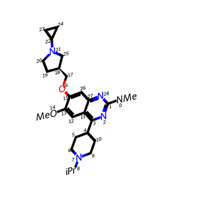 CNc1nc(C2CCN(C(C)C)CC2)c2cc(OC)c(OC[C@H]3CCN(C4CC4)C3)cc2n1